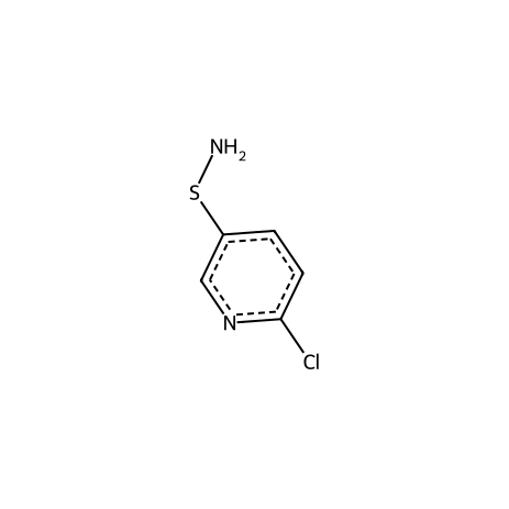 NSc1ccc(Cl)nc1